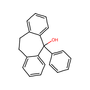 OC1(c2ccccc2)c2ccccc2CCc2ccccc21